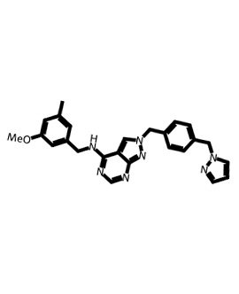 COc1cc(C)cc(CNc2ncnc3nn(Cc4ccc(Cn5cccn5)cc4)cc23)c1